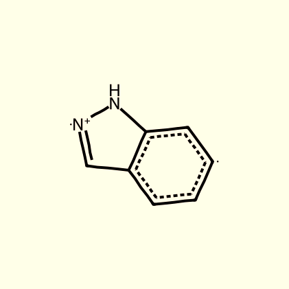 [c]1ccc2c(c1)N[N+]=C2